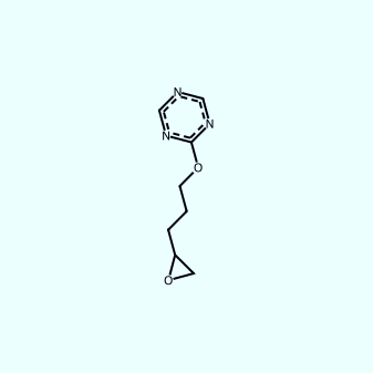 c1ncnc(OCCCC2CO2)n1